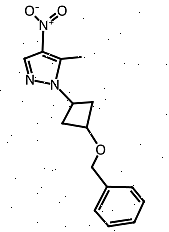 Cc1c([N+](=O)[O-])cnn1C1CC(OCc2ccccc2)C1